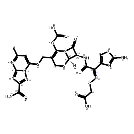 Cc1cc(SCC2=C(OC(=O)O)N3C(=O)[C@@H](NC(=O)/C(=N\OCC(=O)O)c4csc(N)n4)[C@H]3SC2)n2nc(C(N)=O)nc2n1